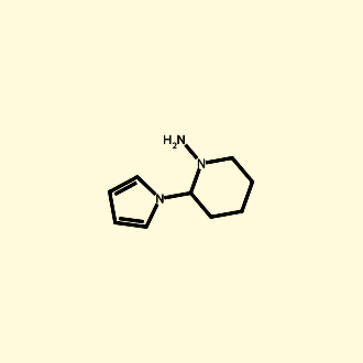 NN1CCCCC1n1cccc1